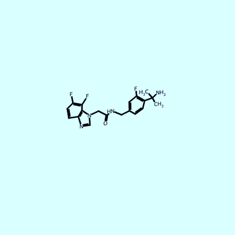 CC(C)(N)c1ccc(CNC(=O)Cn2cnc3ccc(F)c(F)c32)cc1F